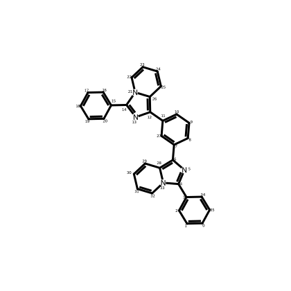 c1ccc(-c2nc(-c3cccc(-c4nc(-c5ccccc5)n5ccccc45)c3)c3ccccn23)cc1